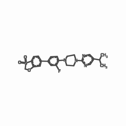 CC(C)c1cnc(N2CCN(c3ccc(-c4ccc5c(c4)OCS5(=O)=O)cc3F)CC2)nc1